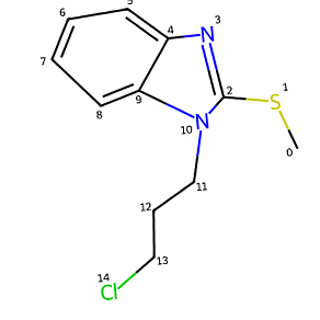 CSc1nc2ccccc2n1CCCCl